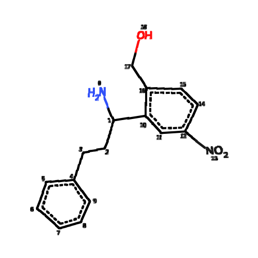 NC(CCc1ccccc1)c1cc([N+](=O)[O-])ccc1CO